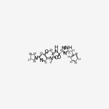 CN1C(=O)[C@@H](NC(=O)c2n[nH]c(Cc3ccccc3)n2)COc2cc(N3CCCC3)ncc21